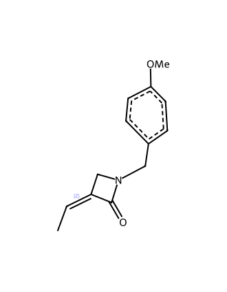 C/C=C1/CN(Cc2ccc(OC)cc2)C1=O